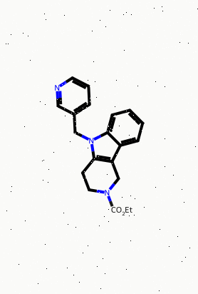 CCOC(=O)N1CCc2c(c3ccccc3n2Cc2cccnc2)C1